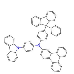 C1=CC2c3ccccc3N(c3ccc(N(c4ccc(C5(c6ccccc6)c6ccccc6-c6ccccc65)cc4)c4ccc5c6ccccc6c6ccccc6c5c4)cc3)C2C=C1